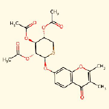 CC(=O)O[C@@H]1[C@@H](OC(C)=O)[C@H](OC(C)=O)CS[C@H]1Oc1ccc2c(=O)c(C)c(C)oc2c1